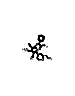 CCc1c(C#N)c(SC(C(N)=O)c2ccccc2)nc(N2CCO[C@@H](CN)C2)c1C#N